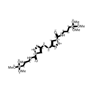 CO[Si](CCCNC(=O)n1cc(SSc2cn(C(=O)NCCC[Si](OC)(OC)OC)nn2)nn1)(OC)OC